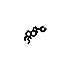 C/C=C1/CCC2C3CC=C(c4cccnc4)C3(C)CCC2C1(C)CCC